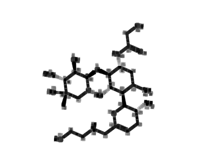 CN[C@@H]1[C@@H](O)[C@@H](O[C@@H]2[C@@H](O)[C@H](C3OC(CNCCO)=CC[C@H]3N)C(N)C[C@H]2NC(=O)CO)OC[C@]1(C)O